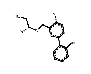 CCc1ccccc1-c1ccc(F)c(CN[C@@H](CO)C(C)C)n1